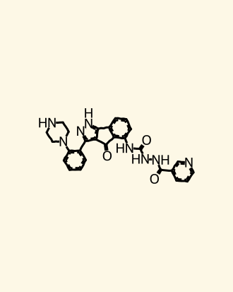 O=C(NNC(=O)c1cccnc1)Nc1cccc2c1C(=O)c1c(-c3ccccc3N3CCNCC3)n[nH]c1-2